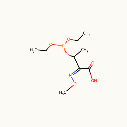 CCOP(OCC)OC(C)C(=NOC)C(=O)O